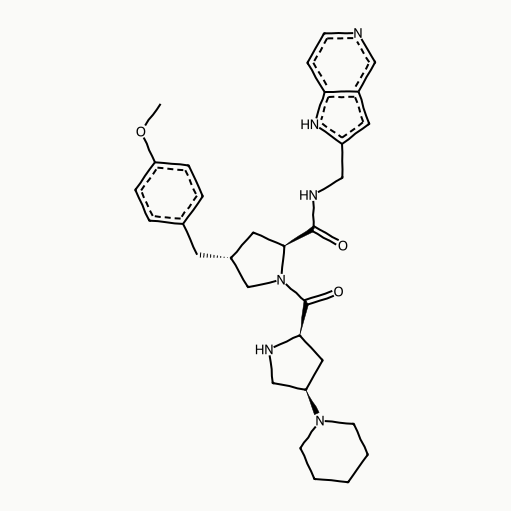 COc1ccc(C[C@@H]2C[C@@H](C(=O)NCc3cc4cnccc4[nH]3)N(C(=O)[C@H]3C[C@@H](N4CCCCC4)CN3)C2)cc1